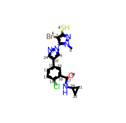 Cn1nc(S)c(Br)c1-n1cc(-c2ccc(Cl)c(C(=O)NC3CC3)c2)cn1